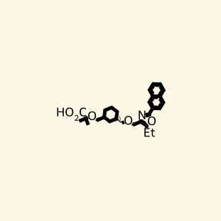 CCc1oc(-c2ccc3ccccc3c2)nc1COC[C@H]1CCCC(COC(C)(C)C(=O)O)C1